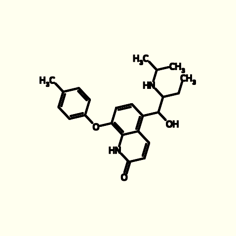 CCC(NC(C)C)C(O)c1ccc(Oc2ccc(C)cc2)c2[nH]c(=O)ccc12